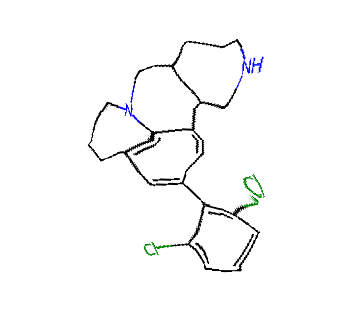 Clc1cccc(Cl)c1-c1cc2c3c(c1)C1CNCCC1CN3CCC2